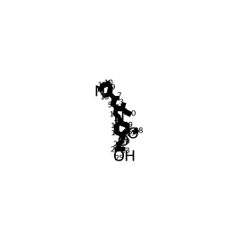 C=C1C(C)=C(/C=C(\C)c2cccnc2)CN1c1ccc(OCC(C)(C)O)c(OC)c1